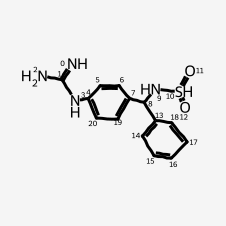 N=C(N)Nc1ccc(C(N[SH](=O)=O)c2ccccc2)cc1